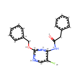 O=C(Cc1ccccc1)Nc1nc(OCc2ccccc2)ncc1F